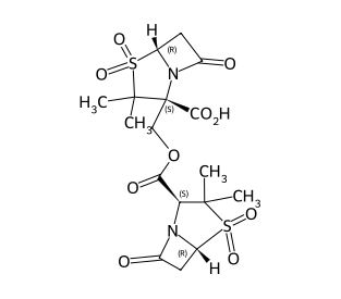 CC1(C)[C@H](C(=O)OC[C@@]2(C(=O)O)N3C(=O)C[C@H]3S(=O)(=O)C2(C)C)N2C(=O)C[C@H]2S1(=O)=O